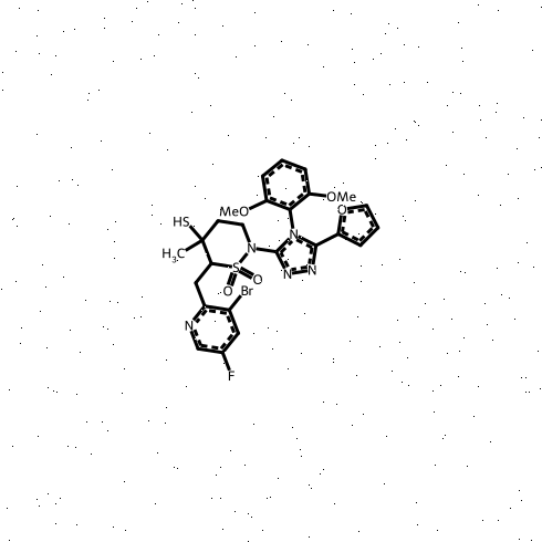 COc1cccc(OC)c1-n1c(-c2ccco2)nnc1N1CCC(C)(S)C(Cc2ncc(F)cc2Br)S1(=O)=O